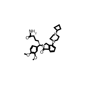 COc1ccc([C@@H](CCCC(N)=O)N2Cc3c(cccc3N3CCN(C4CCC4)CC3)C2=O)cc1OC